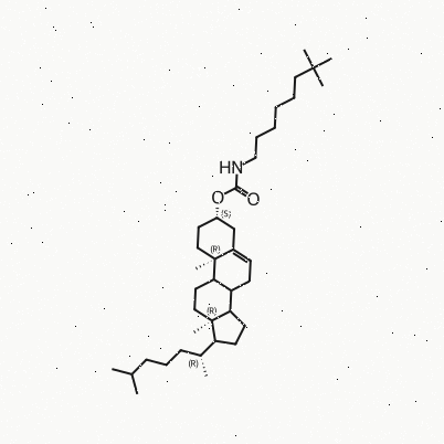 CC(C)CCC[C@@H](C)C1CCC2C3CC=C4C[C@@H](OC(=O)NCCCCCCC(C)(C)C)CC[C@]4(C)C3CC[C@@]21C